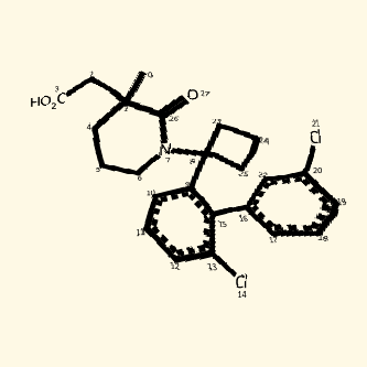 CC1(CC(=O)O)CCCN(C2(c3cccc(Cl)c3-c3cccc(Cl)c3)CCC2)C1=O